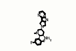 CN1C[C@H](N2Cc3nn4cccnc4c3C2)C[C@H](N)[C@H]1c1cc(F)ccc1F